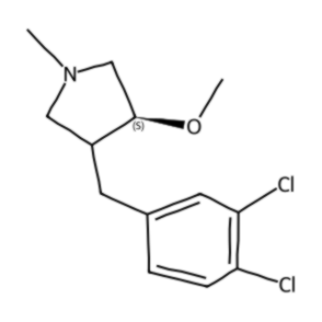 CO[C@@H]1CN(C)CC1Cc1ccc(Cl)c(Cl)c1